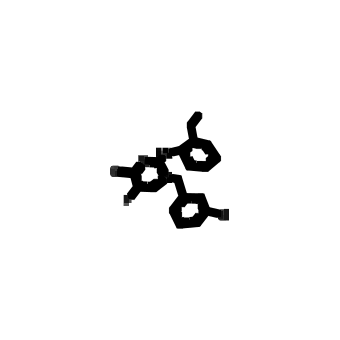 CCc1ccccc1Nc1nc(=O)c(F)cn1Cc1cccc(Cl)c1